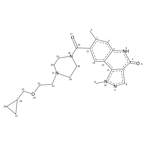 Cc1cc2[nH]c(=O)c3cnn(C)c3c2cc1C(=O)N1CCN(CCOCC2CC2)CC1